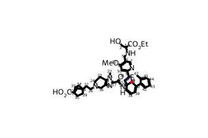 CCOC(=O)C(CO)NCc1cnc(/C(F)=C/C2(NC(=O)c3nc4c(n3C)CCN(CCC35CCC(C(=O)O)(CC3)C5)C4)C=CC=C(c3ccccc3C)C2C)cc1OC